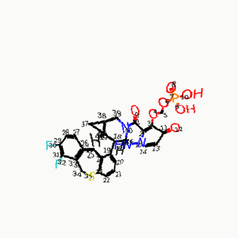 O=C1c2c(OCOP(=O)(O)O)c(=O)ccn2N[C@@H]2C(c3cccc4c3Cc3ccc(F)c(F)c3CS4)[C@@H]3CC3CN12